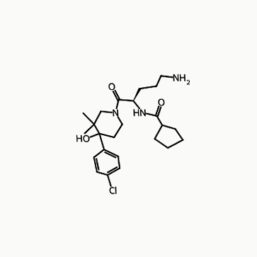 CC1(C)CN(C(=O)[C@@H](CCCN)NC(=O)C2CCCC2)CCC1(O)c1ccc(Cl)cc1